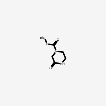 CCCCOC(=O)N1CCNC(=O)C1